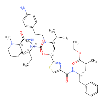 CCOC(=O)C(C)C[C@H](Cc1ccccc1)NC(=O)c1csc([C@@H](C[C@H](C(C)C)N(CCc2ccc(N)cc2)C(=O)[C@@H](NC(=O)[C@H]2CCCCN2C)[C@@H](C)CC)OC(=O)NC)n1